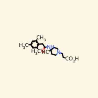 Cc1cc(C)c(CC(=O)NC2(C#N)CCN(CCC(=O)O)CC2)c(C)c1